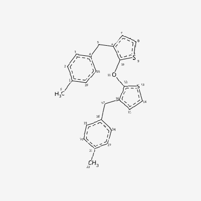 Cc1ccc(Cc2ccsc2Oc2sccc2Cc2ccc(C)cc2)cc1